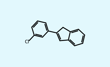 Clc1cccc(C2=Cc3ccccc3C2)c1